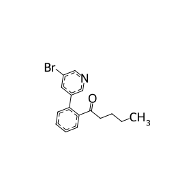 CCCCC(=O)c1ccccc1-c1cncc(Br)c1